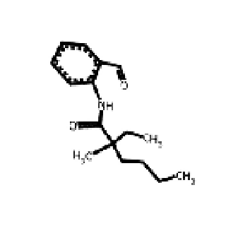 CCCCC(C)(CC)C(=O)Nc1ccccc1C=O